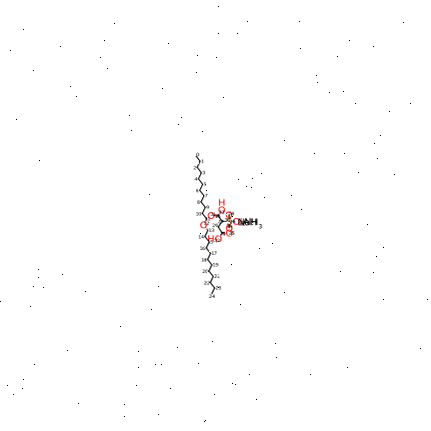 CCCCCCCCCCCCOCCCCCCCCCCCC.O=C(O)CC(C(=O)O)S(=O)(=O)O.[AlH3].[NaH]